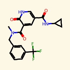 CN(Cc1cccc(C(F)(F)F)c1)C(=O)c1cc(C(=O)NC2CC2)c[nH]c1=O